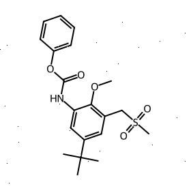 COc1c(CS(C)(=O)=O)cc(C(C)(C)C)cc1NC(=O)Oc1ccccc1